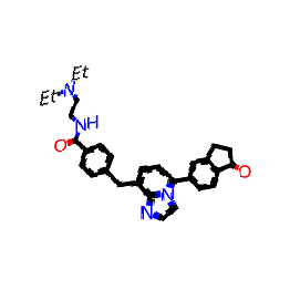 CCN(CC)CCNC(=O)c1ccc(Cc2ccc(-c3ccc4c(c3)CCC4=O)n3ccnc23)cc1